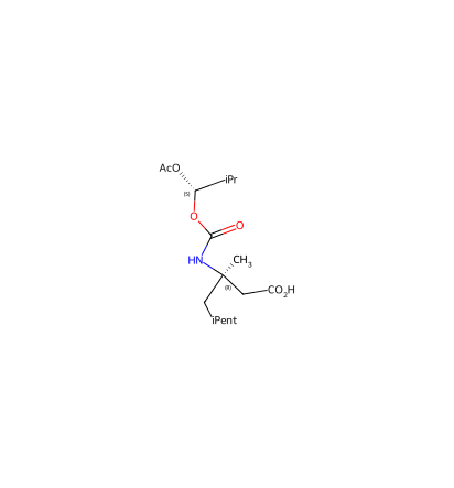 CCCC(C)C[C@](C)(CC(=O)O)NC(=O)O[C@H](OC(C)=O)C(C)C